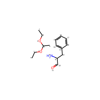 CCOC(C)OCC.NC(C=O)Cc1ccccc1